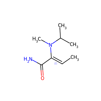 C/C=C(/C(N)=O)N(C)C(C)C